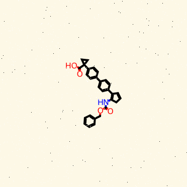 O=C(NC1=C(c2ccc(-c3ccc(C4(C(=O)O)CC4)cc3)cc2)C=CC1)OCc1ccccc1